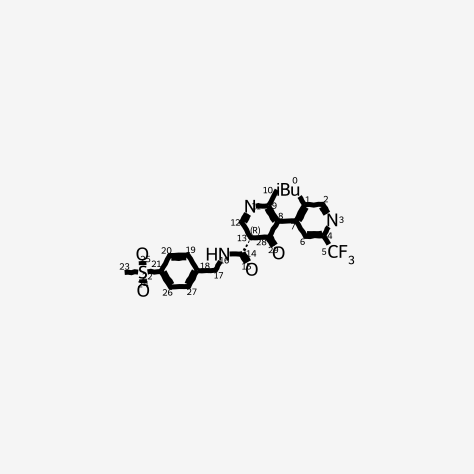 CCC(C)c1cnc(C(F)(F)F)cc1C1=C(C)N=C[C@@H](C(=O)NCc2ccc(S(C)(=O)=O)cc2)C1=O